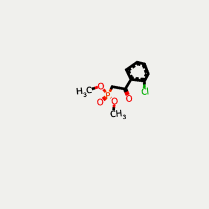 COP(=O)(CC(=O)c1ccccc1Cl)OC